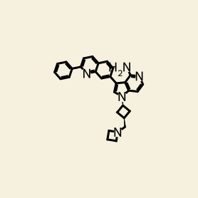 Nc1nccc2c1c(-c1ccc3ccc(-c4ccccc4)nc3c1)cn2[C@H]1C[C@H](CN2CCC2)C1